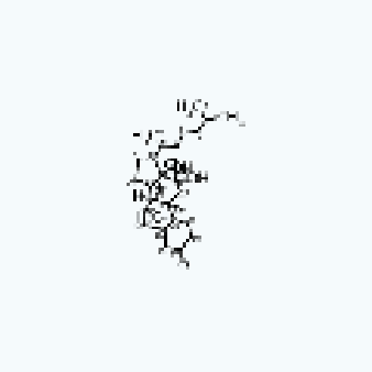 CC(C)CCC[C@@H](C)[C@H]1CC[C@H]2[C@@H]3CCC4CC(=O)CC[C@]4(C)[C@H]3CC(O)(O)[C@]12C